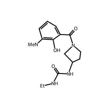 CCNC(=O)NC1CCN(C(=O)c2cccc(NC)c2O)C1